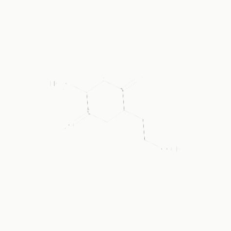 O=C(O)CCC1CC(=O)C(C(=O)O)CC1=O